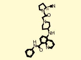 N#C[C@@H]1CCCN1C(=O)CN1CCC(Nc2ccc(C(=O)Nc3ccccc3)c3ncccc23)CC1